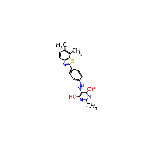 Cc1nc(O)c(/N=N/c2ccc(-c3nc4ccc(C)c(C)c4s3)cc2)c(O)n1